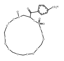 O=C(O)c1ccc(C(=O)C2C[S+]([O-])CCOCCOCCOCCOCCOCCS(=O)(=O)C2)cc1